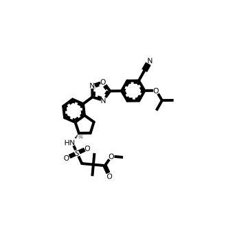 COC(=O)C(C)(C)CS(=O)(=O)N[C@H]1CCc2c(-c3noc(-c4ccc(OC(C)C)c(C#N)c4)n3)cccc21